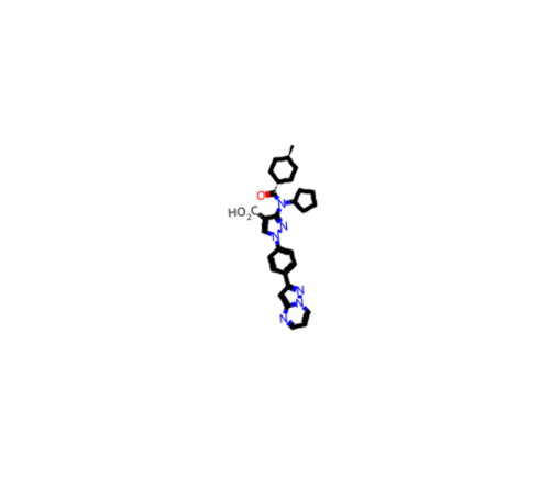 C[C@H]1CC[C@H](C(=O)N(c2nn(-c3ccc(-c4cc5ncccn5n4)cc3)cc2C(=O)O)C2CCCC2)CC1